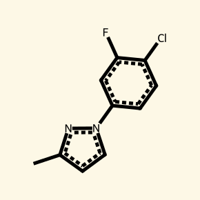 Cc1ccn(-c2ccc(Cl)c(F)c2)n1